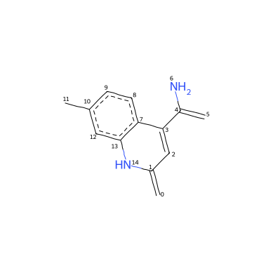 C=C1C=C(C(=C)N)c2ccc(C)cc2N1